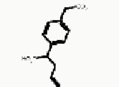 C=CCC(C(=O)O)c1ccc(CC(=O)O)cc1